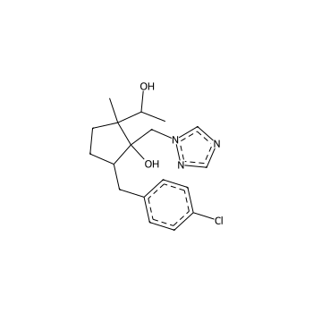 CC(O)C1(C)CCC(Cc2ccc(Cl)cc2)C1(O)Cn1cncn1